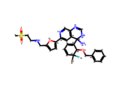 CS(=O)(=O)CCNCc1ccc(-c2cc3c(cn2)N=CNC3(N)C2=CC=CC(F)(Br)C2OCc2ccccc2)o1